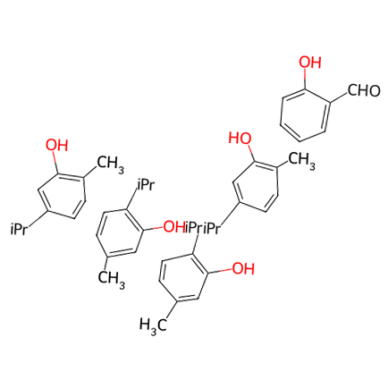 Cc1ccc(C(C)C)c(O)c1.Cc1ccc(C(C)C)c(O)c1.Cc1ccc(C(C)C)cc1O.Cc1ccc(C(C)C)cc1O.O=Cc1ccccc1O